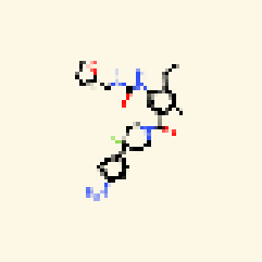 CCc1cc(C)c(C(=O)N2CCC(F)(c3ccc(N)cc3)CC2)cc1NC(=O)NC[C@H]1CCCO1